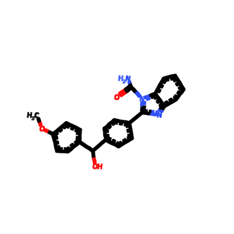 COc1ccc(C(O)c2ccc(-c3nc4ccccc4n3C(N)=O)cc2)cc1